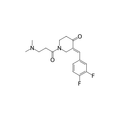 CN(C)CCC(=O)N1CCC(=O)/C(=C/c2ccc(F)c(F)c2)C1